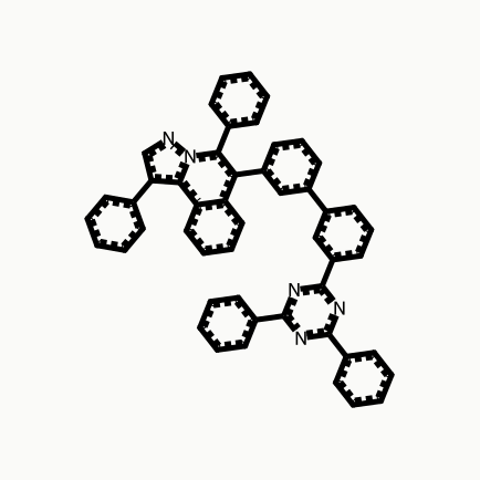 c1ccc(-c2nc(-c3ccccc3)nc(-c3cccc(-c4cccc(-c5c(-c6ccccc6)n6ncc(-c7ccccc7)c6c6ccccc56)c4)c3)n2)cc1